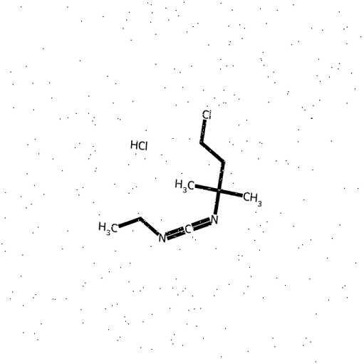 CCN=C=NC(C)(C)CCCl.Cl